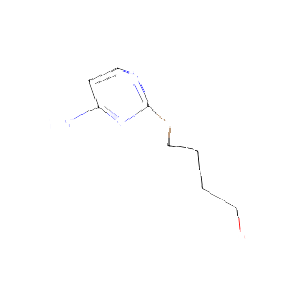 Nc1ccnc(SCCCCO)n1